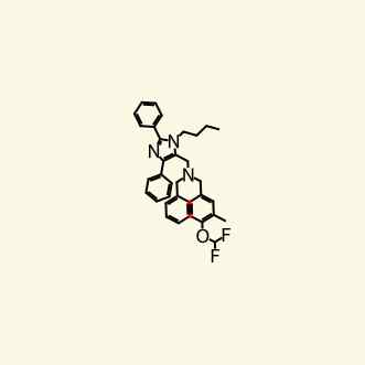 CCCCn1c(-c2ccccc2)nc(-c2ccccc2)c1CN(Cc1ccccc1)Cc1ccc(OC(F)F)c(C)c1